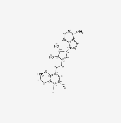 Nc1ncnc2c1ccn2C1C=C(CCc2cc(Cl)c(F)c3c2CNCC3)C(O)[C@@H]1O